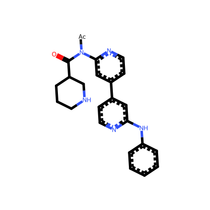 CC(=O)N(C(=O)C1CCCNC1)c1cc(-c2ccnc(Nc3ccccc3)c2)ccn1